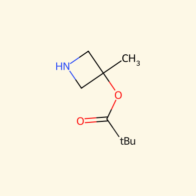 CC1(OC(=O)C(C)(C)C)CNC1